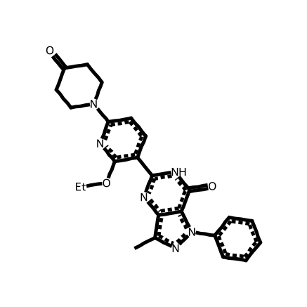 CCOc1nc(N2CCC(=O)CC2)ccc1-c1nc2c(C)nn(-c3ccccc3)c2c(=O)[nH]1